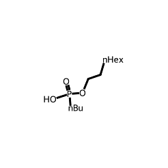 CCCCCCCCOP(=O)(O)CCCC